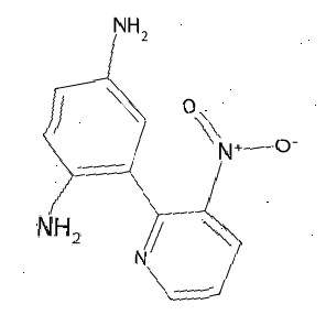 Nc1ccc(N)c(-c2ncccc2[N+](=O)[O-])c1